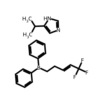 CC(C)c1cnc[nH]1.FC(F)(F)C=CCCB(c1ccccc1)c1ccccc1